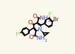 NC(=O)c1c(-c2ccc(Br)c(F)c2)n(C2CC2)c(C(N)=O)c(-c2ccc(F)cc2)c1=O